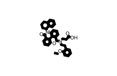 CCOc1ccccc1CCN(CCC(=O)O)C(=O)c1ccccc1-c1ccccc1C(=O)NC1CCCc2ccccc21